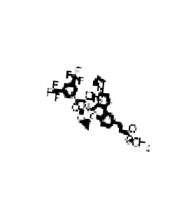 COC(=O)CCc1ccc(OC2CC2)c(-c2ccc(N3CCC3)nc2CN2C(=O)O[C@H](c3cc(C(F)(F)F)cc(C(F)(F)F)c3)[C@@H]2C)c1